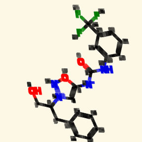 O=C([N-]c1c[n+](C(CO)Cc2ccccc2)no1)Nc1cccc(C(F)(F)F)c1